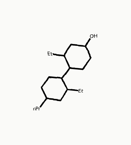 CCCC1CCC(C2CCC(O)CC2CC)C(CC)C1